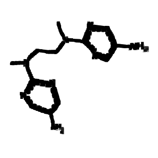 CN(CCN(C)c1ncc(N)cn1)c1ncc(N)cn1